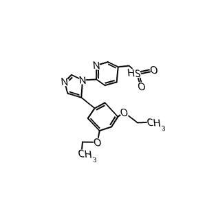 CCOc1cc(OCC)cc(-c2cncn2-c2ccc(C[SH](=O)=O)cn2)c1